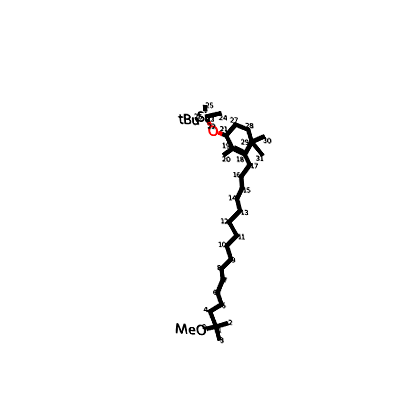 COC(C)(C)CCCCCCCCCCCCCCC1=C(C)C(O[Si](C)(C)C(C)(C)C)CCC1(C)C